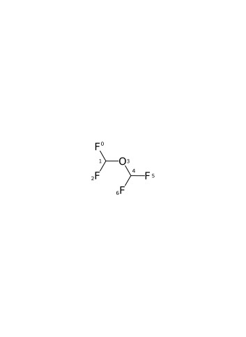 FC(F)OC(F)F